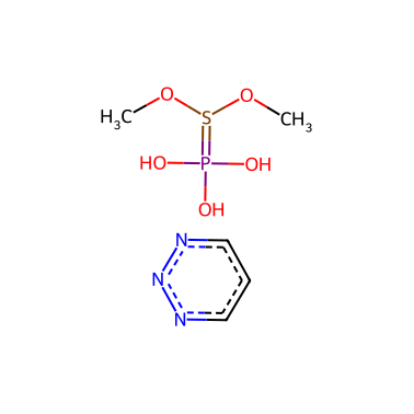 COS(OC)=P(O)(O)O.c1cnnnc1